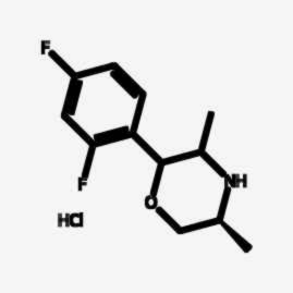 CC1N[C@@H](C)COC1c1ccc(F)cc1F.Cl